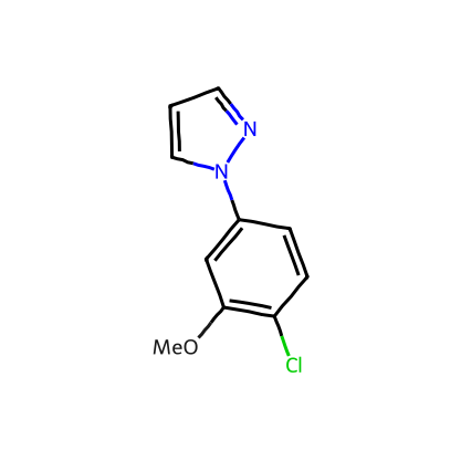 COc1cc(-n2cccn2)ccc1Cl